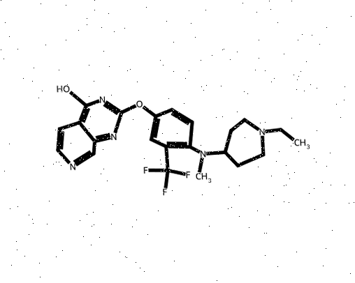 CCN1CCC(N(C)c2ccc(Oc3nc(O)c4ccncc4n3)cc2C(F)(F)F)CC1